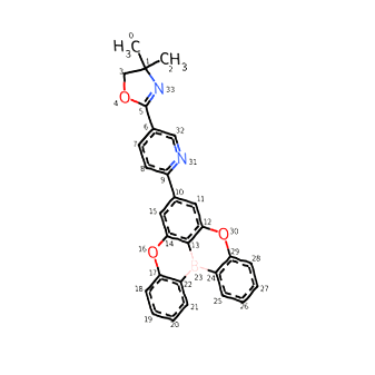 CC1(C)COC(c2ccc(-c3cc4c5c(c3)Oc3ccccc3B5c3ccccc3O4)nc2)=N1